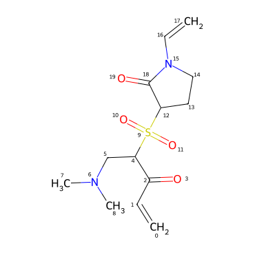 C=CC(=O)C(CN(C)C)S(=O)(=O)C1CCN(C=C)C1=O